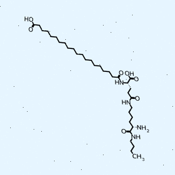 CCCCNC(=O)[C@@H](N)CCCCNC(=O)CC[C@H](NC(=O)CCCCCCCCCCCCCCCCCCC(=O)O)C(=O)O